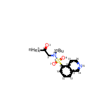 CCCCCCC(=O)CN(CCCC)S(=O)(=O)c1cccc2cnccc12